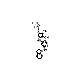 NS(=O)(=O)OC[C@@H]1C[C@@H](Nc2cc(N[C@H]3CCc4ccccc43)ncn2)[C@H](O)[C@@H]1O